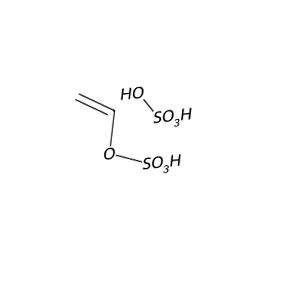 C=COS(=O)(=O)O.O=S(=O)(O)O